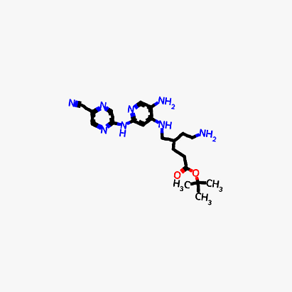 CC(C)(C)OC(=O)CCC(CCN)CNc1cc(Nc2cnc(C#N)cn2)ncc1N